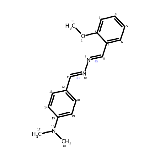 COc1ccccc1/C=N/N=C/c1ccc(N(C)C)cc1